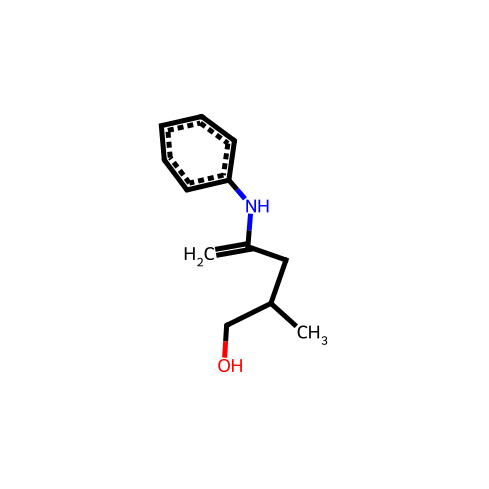 C=C(CC(C)CO)Nc1ccccc1